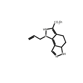 C=CCN1NC(C(=O)OCC)=C2CCC3NN=CC3=C21